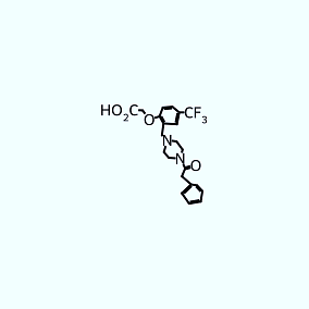 O=C(O)COc1ccc(C(F)(F)F)cc1CN1CCN(C(=O)Cc2ccccc2)CC1